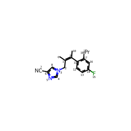 C/C(Cn1cnc(C#N)c1)=C(\C)c1ccc(F)cc1C(C)C